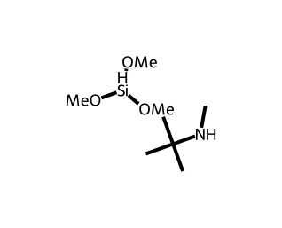 CNC(C)(C)C.CO[SiH](OC)OC